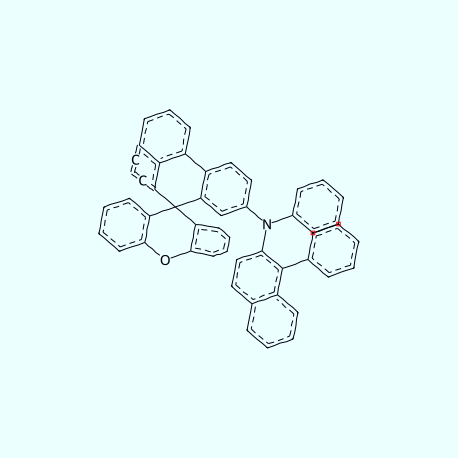 c1ccc(-c2c(N(c3ccccc3)c3ccc4c(c3)C3(c5ccccc5Oc5ccccc53)c3cccc5cccc-4c35)ccc3ccccc23)cc1